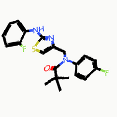 CC(C)(C)C(=O)N(Cc1csc(Nc2ccccc2F)n1)c1ccc(F)cc1